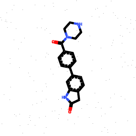 O=C1Cc2ccc(-c3ccc(C(=O)N4CCNCC4)cc3)cc2N1